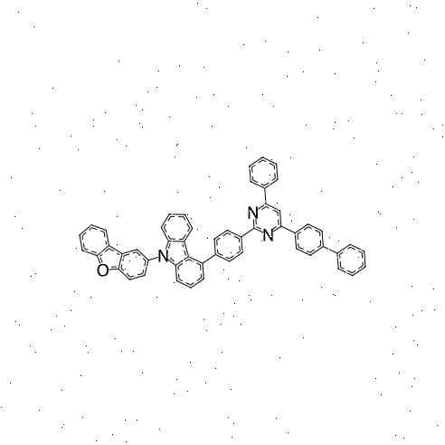 c1ccc(-c2ccc(-c3cc(-c4ccccc4)nc(-c4ccc(-c5cccc6c5c5ccccc5n6-c5ccc6oc7ccccc7c6c5)cc4)n3)cc2)cc1